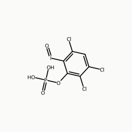 O=Ic1c(Cl)cc(Cl)c(Cl)c1OP(=O)(O)O